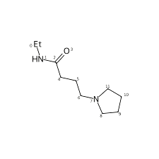 CCNC(=O)CCCN1CCCC1